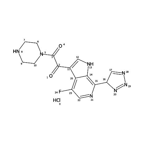 Cl.O=C(C(=O)N1CCNCC1)c1c[nH]c2c(C3C=NN=N3)ncc(F)c12